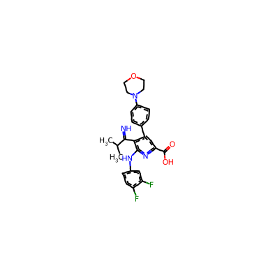 CC(C)C(=N)c1c(-c2ccc(N3CCOCC3)cc2)cc(C(=O)O)nc1Nc1ccc(F)c(F)c1